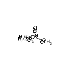 COC(=O)CCCCn1nc(-c2ccc(Cl)cc2)c2c1CCN(C(=O)OC(C)(C)C)CC2